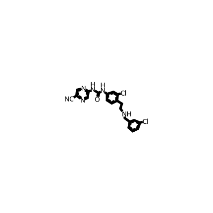 N#Cc1cnc(NC(=O)Nc2ccc(CCNCc3cccc(Cl)c3)c(Cl)c2)cn1